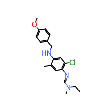 CCN(C)C=Nc1cc(C)c(NCc2ccc(OC)cc2)cc1Cl